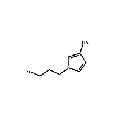 CC(=O)Oc1cn(CCCBr)cn1